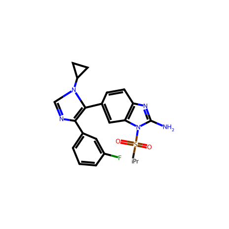 CC(C)S(=O)(=O)n1c(N)nc2ccc(-c3c(-c4cccc(F)c4)ncn3C3CC3)cc21